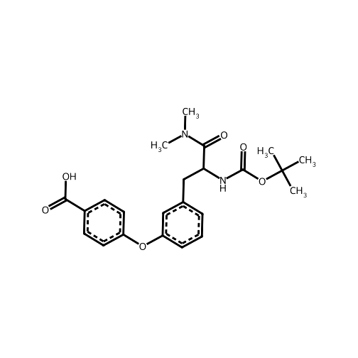 CN(C)C(=O)C(Cc1cccc(Oc2ccc(C(=O)O)cc2)c1)NC(=O)OC(C)(C)C